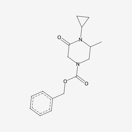 CC1CN(C(=O)OCc2ccccc2)CC(=O)N1C1CC1